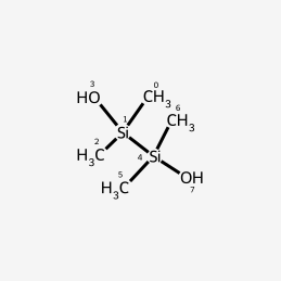 C[Si](C)(O)[Si](C)(C)O